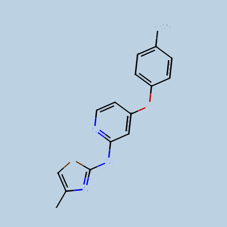 COc1ccc(Oc2ccnc(Nc3nc(C)cs3)c2)cc1